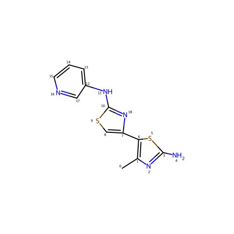 Cc1nc(N)sc1-c1csc(Nc2cccnc2)n1